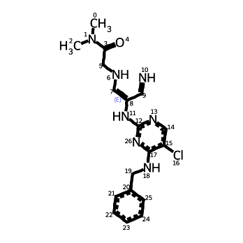 CN(C)C(=O)CN/C=C(\C=N)Nc1ncc(Cl)c(NCc2ccccc2)n1